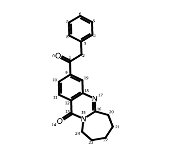 O=C(Cc1ccccc1)c1ccc2c(=O)n3c(nc2c1)CCCCC3